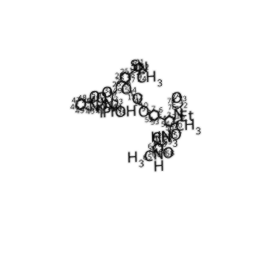 CCN(c1cc(-c2ccc(OCCOCCOc3cc(-c4scnc4C)ccc3CCC(=O)C3C[C@@H](O)CN3C(=O)[C@H](C(C)C)N3Cc4ccccc4C3=O)cc2)cc(C(=O)NCc2c(C)cc(C)[nH]c2=O)c1C)C1CCOCC1